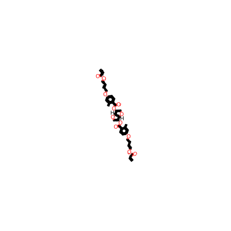 C=CC(=O)OCCCCOc1ccc(C(=O)O[C@H]2CO[C@H]3[C@@H]2OC[C@H]3OC(=O)c2ccc(OCCCCOC(=O)C=C)cc2C)c(C)c1